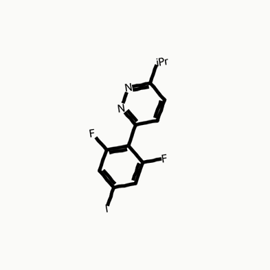 CC(C)c1ccc(-c2c(F)cc(I)cc2F)nn1